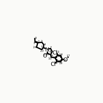 CC=C1CCC(N2CCC(Cc3c(Cl)cc(OC)cc3Cl)C2=O)CC1